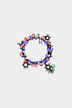 CCC(C)[C@@H]1NC(=O)[C@H](C)N(C)C(=O)C[C@@H](C)NC(=O)[C@H](C2CCCC2)N(C)C(=O)C2(CCC2)NC(=O)[C@@H]2CCCN2C(=O)[C@H](CCc2ccc(C(F)(F)F)c(Cl)c2)NC(=O)CN(C)C(=O)[C@H](CC2CCCCC2)N(C)C(=O)CN(C)C(=O)CN(C)C1=O